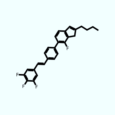 CCCCC1=Cc2ccc(-c3ccc(/C=C/c4cc(F)c(F)c(F)c4)cc3)c(F)c2C1